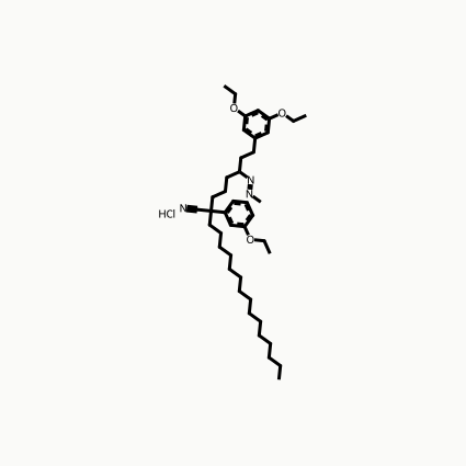 CCCCCCCCCCCCCCCC(C#N)(CCCC(CCc1cc(OCC)cc(OCC)c1)N=NC)c1cccc(OCC)c1.Cl